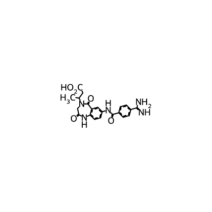 CC(CC(=O)O)N1CC(=O)Nc2ccc(NC(=O)c3ccc(C(=N)N)cc3)cc2C1=O